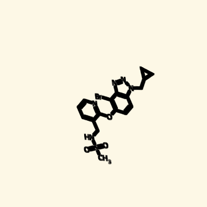 CS(=O)(=O)NCc1cccnc1Oc1ccc2c(nnn2CC2CC2)c1Br